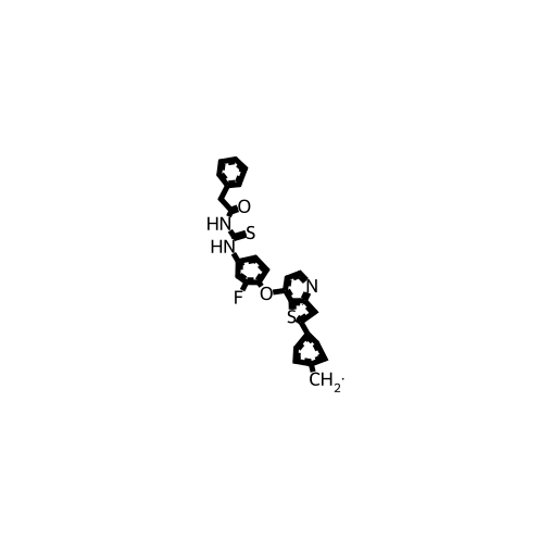 [CH2]c1ccc(-c2cc3nccc(Oc4ccc(NC(=S)NC(=O)Cc5ccccc5)cc4F)c3s2)cc1